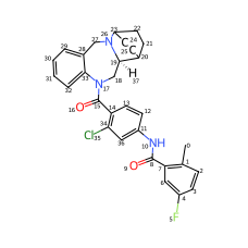 Cc1ccc(F)cc1C(=O)Nc1ccc(C(=O)N2C[C@@H]3C4CCC(CC4)N3Cc3ccccc32)c(Cl)c1